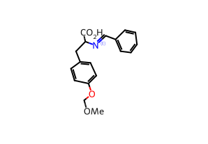 COCOc1ccc(CC(/N=C/c2ccccc2)C(=O)O)cc1